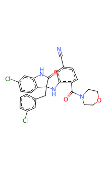 N#Cc1ccc(C(=O)N2CCOCC2)c(NC2(Cc3cccc(Cl)c3)C(=O)Nc3cc(Cl)ccc32)c1